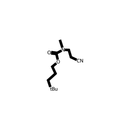 CN(CCC#N)C(=O)OCCCC(C)(C)C